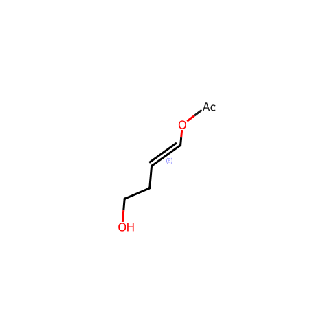 CC(=O)O/C=C/CCO